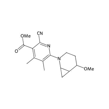 COC(=O)c1c(C#N)nc(N2CCC(OC)C3CC32)c(C)c1C